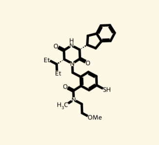 CCC(CC)[C@@H]1C(=O)N[C@H](C2Cc3ccccc3C2)C(=O)N1Cc1ccc(S)cc1C(=O)N(C)CCOC